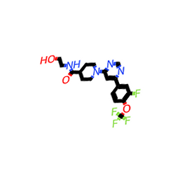 O=C(NCCO)C1CCN(c2cc(-c3ccc(OC(F)(F)F)c(F)c3)ncn2)CC1